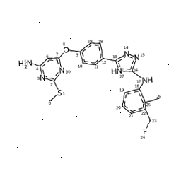 CSc1nc(N)cc(Oc2ccc(-c3nnc(Nc4cccc(CF)c4C)[nH]3)cc2)n1